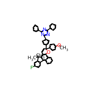 COc1ccc(C2(c3ccc(-c4nc(-c5ccccc5)nc(-c5ccccc5)n4)cc3)C=Cc3c4c(c5ccccc5c3O2)-c2ccc(F)cc2C4(C)C)cc1